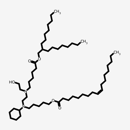 CCCCCCCC/C=C\CCCCCCCC(=O)OCCCCCN(CCN(CCO)CCCCCC(=O)OCC(CCCCCCCC)CCCCCCCC)C1CCCCC1